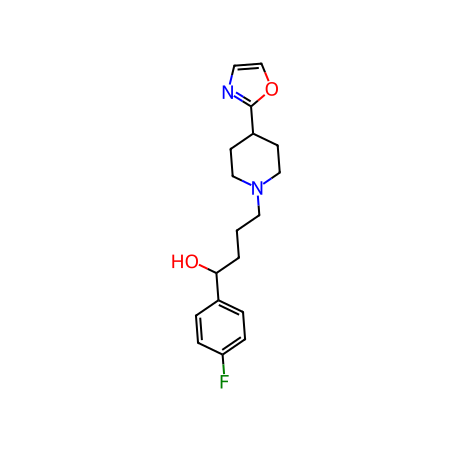 OC(CCCN1CCC(c2ncco2)CC1)c1ccc(F)cc1